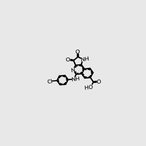 O=C1Nc2c(nc(Nc3ccc(Cl)cc3)c3cc(C(=O)O)ccc23)C1=O